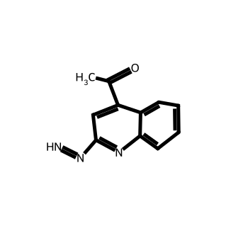 CC(=O)c1cc(N=N)nc2ccccc12